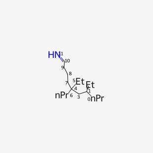 CCCC(CC)CC(CC)(CCC)CCCC=N